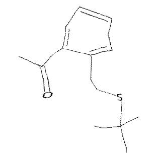 CC(=O)c1ccccc1CSC(C)(C)C